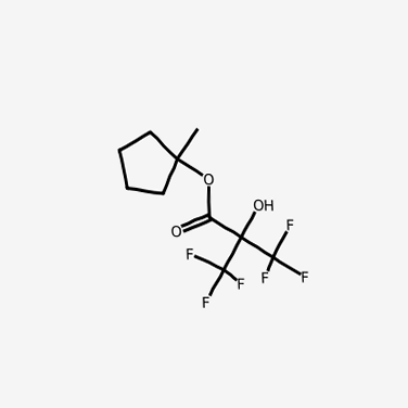 CC1(OC(=O)C(O)(C(F)(F)F)C(F)(F)F)CCCC1